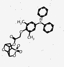 Cc1cc([SH](c2ccccc2)c2ccccc2)cc(C)c1OCC(=O)OC1C2CC3C(O2)C1OS3(=O)=O